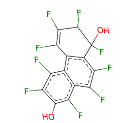 Oc1c(F)c(F)c2c3c(c(F)c(F)c2c1F)C(O)(F)C(F)C(F)=C3F